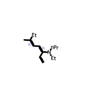 C=C/C(=C\C=C(\C)CC)N(CC)CCC